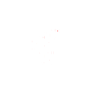 O=P([O-])([O-])O.O=P([O-])([O-])O.O=P([O-])([O-])O.[Cr+3].[Cr+3]